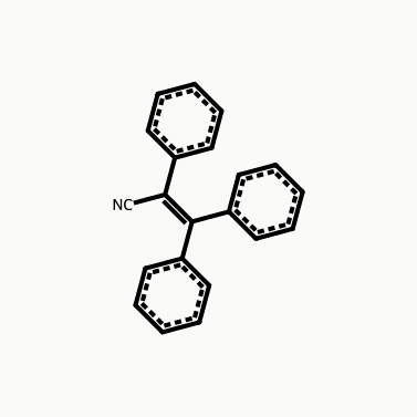 N#CC(=C(c1ccccc1)c1ccccc1)c1ccccc1